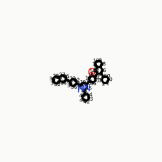 C1=CCCC(c2cc3ccccc3c3oc4cc(-c5cc(-c6ccc(-c7ccc8ccccc8c7)cc6)nc(-c6ccccc6)n5)ccc4c23)=C1